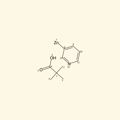 CC(C)(C)C(=O)O.[Zn][c]1cccnc1